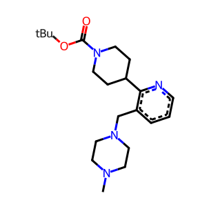 CN1CCN(Cc2cccnc2C2CCN(C(=O)OC(C)(C)C)CC2)CC1